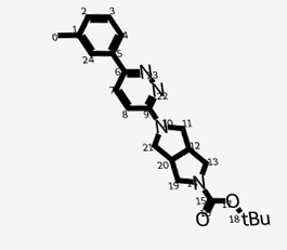 Cc1cccc(-c2ccc(N3CC4CN(C(=O)OC(C)(C)C)CC4C3)nn2)c1